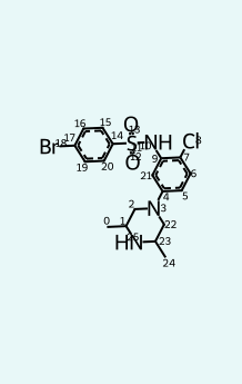 CC1CN(c2ccc(Cl)c(NS(=O)(=O)c3ccc(Br)cc3)c2)CC(C)N1